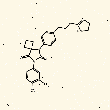 N#Cc1ccc(N2C(=O)C3(CCC3)N(c3ccc(CCCC4=NCCN4)cc3)C2=S)cc1C(F)(F)F